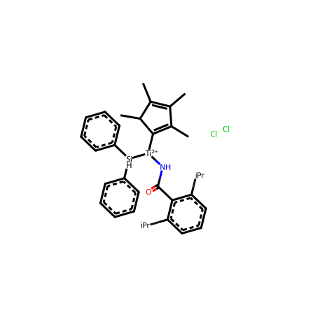 CC1=C(C)C(C)[C]([Ti+2]([NH]C(=O)c2c(C(C)C)cccc2C(C)C)[SiH](c2ccccc2)c2ccccc2)=C1C.[Cl-].[Cl-]